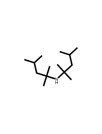 CC(C)CC(C)(C)NC(C)(C)CC(C)C